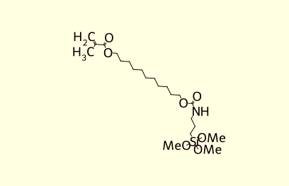 C=C(C)C(=O)OCCCCCCCCCCCOC(=O)NCCC[Si](OC)(OC)OC